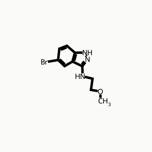 COCCNc1n[nH]c2ccc(Br)cc12